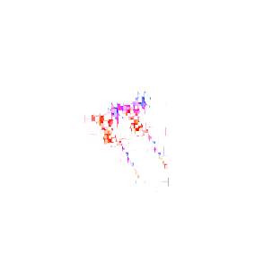 CC(=O)CC(=O)SCCNC(=O)CCNC(=O)[C@H](O)C(C)(C)COP(=O)(O)OP(=O)(O)OC[C@H]1O[C@@H](n2cnc3c(N)ncnc32)[C@H](O)[C@@H]1OP(=O)(O)O.CC(C)(COP(=O)(O)OP(=O)(O)OC[C@H]1O[C@@H](n2cnc3c(N)ncnc32)[C@H](O)[C@@H]1OP(=O)(O)O)[C@@H](O)C(=O)NCCC(=O)NCCSC(=O)CCC(=O)O